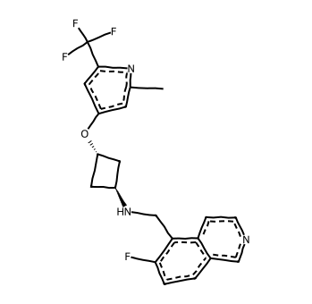 Cc1cc(O[C@H]2C[C@H](NCc3c(F)ccc4cnccc34)C2)cc(C(F)(F)F)n1